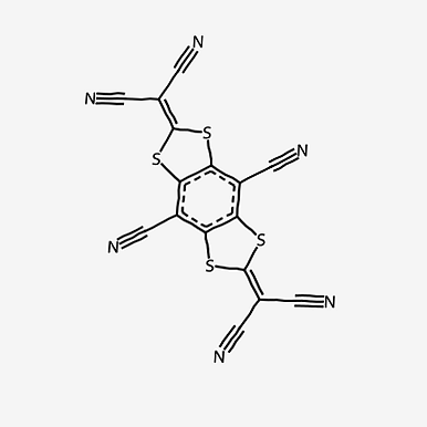 N#CC(C#N)=C1Sc2c(C#N)c3c(c(C#N)c2S1)SC(=C(C#N)C#N)S3